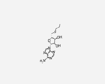 CCCSC[C@H]1O[C@@H](n2cnc3c(N)ncnc32)[C@H](O)[C@@H]1O